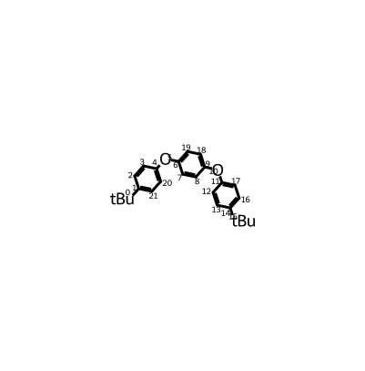 CC(C)(C)c1ccc(Oc2ccc(Oc3ccc(C(C)(C)C)cc3)cc2)cc1